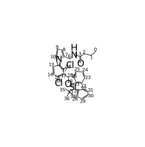 CCCC(=O)NCc1cccn1-c1ccc(Cl)c(CO[Si](c2ccccc2)(c2ccccc2)C(C)(C)C)c1Cl